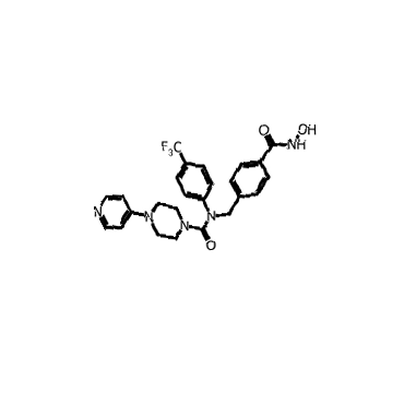 O=C(NO)c1ccc(CN(C(=O)N2CCN(c3ccncc3)CC2)c2ccc(C(F)(F)F)cc2)cc1